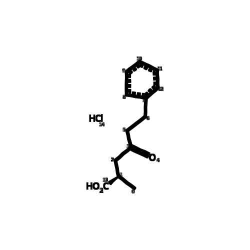 C[C@H](CC(=O)CCc1ccccc1)C(=O)O.Cl